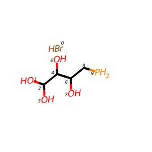 Br.OC(O)C(O)C(O)CP